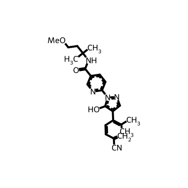 C=C(C#N)/C=C\C(=C(C)C)c1cnn(-c2ccc(C(=O)NC(C)(C)CCOC)cn2)c1O